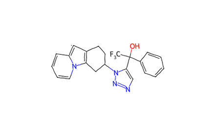 OC(c1ccccc1)(c1cnnn1C1CCc2[c]c3ccccn3c2C1)C(F)(F)F